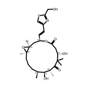 C[C@H]1CCC[C@@]2(C)O[C@H]2C[C@@H](C=Cc2csc(CO)n2)OC(=O)C[C@H](O)C(C)(C)C(=O)[C@H](C)[C@H]1O